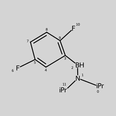 CC(C)N(Bc1cc(F)ccc1F)C(C)C